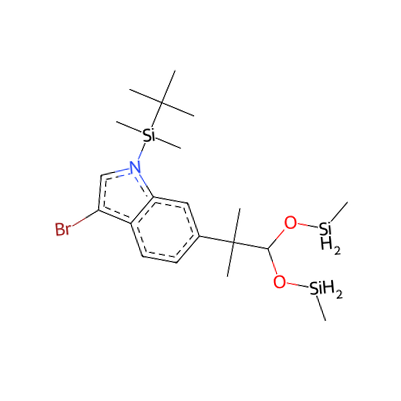 C[SiH2]OC(O[SiH2]C)C(C)(C)c1ccc2c(Br)cn([Si](C)(C)C(C)(C)C)c2c1